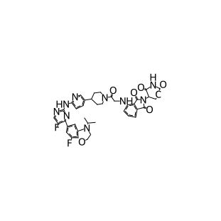 CC(C)N1CCOc2c(F)cc(-c3nc(Nc4ccc(C5CCN(C(=O)CNc6cccc7c6C(=O)N(C6CCC(=O)NC6=O)C7=O)CC5)cn4)ncc3F)cc21